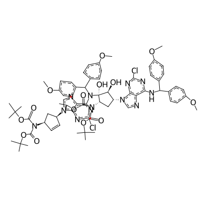 COc1ccc(C(Nc2nc(Cl)nc3c2ncn3[C@@H]2C[C@H](N(C(=O)OC(C)(C)C)C(=O)OC(C)(C)C)[C@@](O)(N(c3nc(Cl)nc4c3ncn4[C@H]3C=C[C@@H](N(C(=O)OC(C)(C)C)C(=O)OC(C)(C)C)C3)C(c3ccc(OC)cc3)c3ccc(OC)cc3)[C@H]2O)c2ccc(OC)cc2)cc1